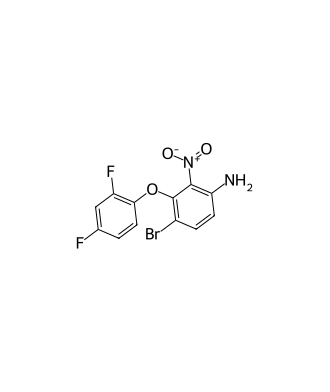 Nc1ccc(Br)c(Oc2ccc(F)cc2F)c1[N+](=O)[O-]